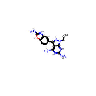 CC(C)(C)Cn1nc(-c2ccc3oc(N)nc3c2)c2c(N)nc(N)nc21